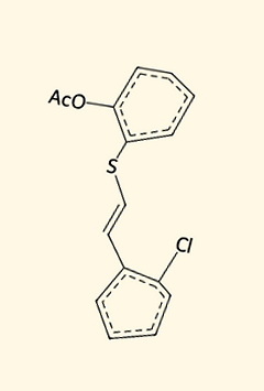 CC(=O)Oc1ccccc1SC=Cc1ccccc1Cl